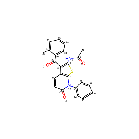 CC(=O)Nc1sc2c(ccc(=O)n2-c2ccccc2)c1C(=O)c1ccccc1C